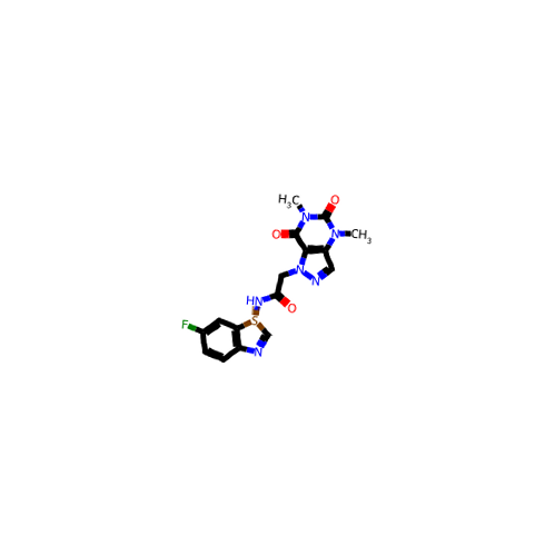 Cn1c(=O)c2c(cnn2CC(=O)N[SH]2[C]=Nc3ccc(F)cc32)n(C)c1=O